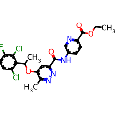 CCOC(=O)c1ccc(NC(=O)c2cc(OC(C)c3c(Cl)ccc(F)c3Cl)c(C)nn2)cn1